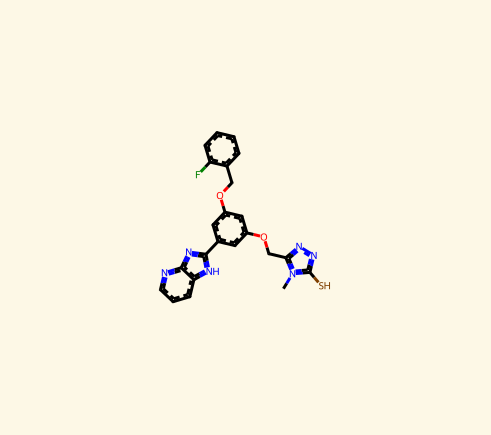 Cn1c(S)nnc1COc1cc(OCc2ccccc2F)cc(-c2nc3ncccc3[nH]2)c1